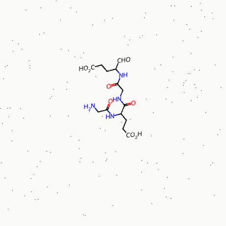 NCC(=O)NC(CCC(=O)O)C(=O)NCC(=O)NC(C=O)CCC(=O)O